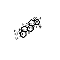 CC(C)[C@@H]1CC[C@]2(C(=O)O)CC[C@]3(C)[C@H](CC[C@@H]4[C@@]5(C)CC[C@H](C)C(C)(C)[C@@H]5CC[C@]43C)[C@@H]12